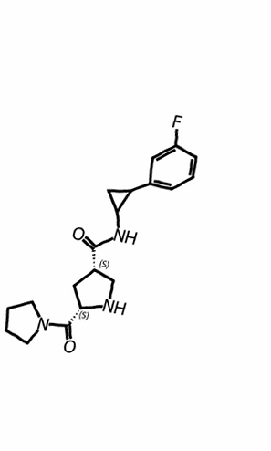 O=C(NC1CC1c1cccc(F)c1)[C@@H]1CN[C@H](C(=O)N2CCCC2)C1